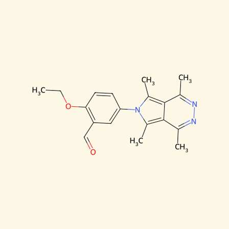 CCOc1ccc(-n2c(C)c3c(C)nnc(C)c3c2C)cc1C=O